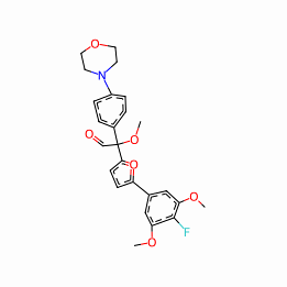 COc1cc(-c2ccc(C(C=O)(OC)c3ccc(N4CCOCC4)cc3)o2)cc(OC)c1F